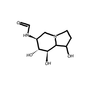 O=CN[C@H]1CN2CCC(O)C2[C@@H](O)[C@@H]1O